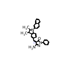 CC1c2cc(/C=C3\C(=O)N(c4ccccc4)N=C3N)ccc2N(c2ccc3ccccc3c2)C1C